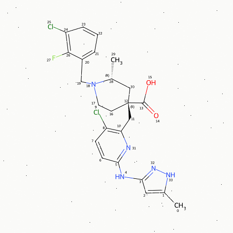 Cc1cc(Nc2ccc(Cl)c(C[C@@]3(C(=O)O)CCN(Cc4cccc(Cl)c4F)[C@H](C)C3)n2)n[nH]1